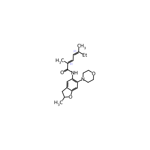 CC/C(C)=C\C=C(/C)C(=O)Nc1cc2c(cc1N1CCOCC1)OC(C)C2